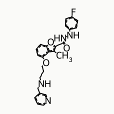 Cc1c(C(=O)NNc2ccc(F)cc2)oc2cccc(OCCCNCc3cccnc3)c12